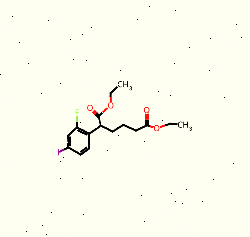 CCOC(=O)CCCC(C(=O)OCC)c1ccc(I)cc1F